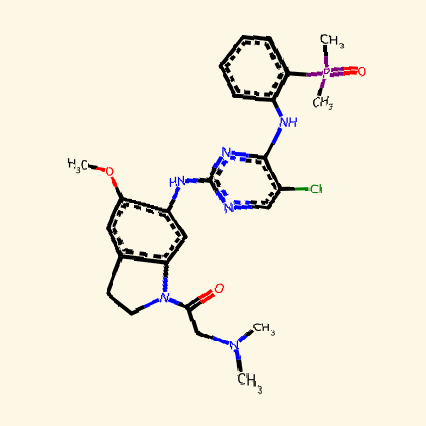 COc1cc2c(cc1Nc1ncc(Cl)c(Nc3ccccc3P(C)(C)=O)n1)N(C(=O)CN(C)C)CC2